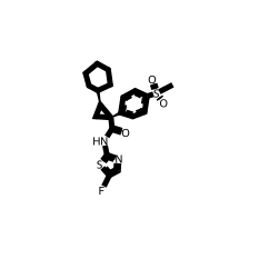 CS(=O)(=O)c1ccc([C@@]2(C(=O)Nc3ncc(F)s3)C[C@H]2C2CCCCC2)cc1